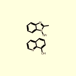 CCCn1c(C)nc2ccccc21.Oc1cccc2cccnc12